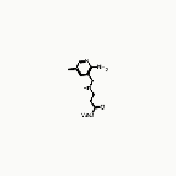 COC(=O)CCNCc1cc(C)cnc1N